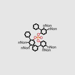 CCCCCCCCCc1ccc(OP(=O)(Oc2ccc(CCCCCCCCC)c(CCCCCCCCC)c2-c2ccccc2)Oc2ccc(CCCCCCCCC)c(CCCCCCCCC)c2-c2ccccc2)c(-c2ccccc2)c1CCCCCCCCC